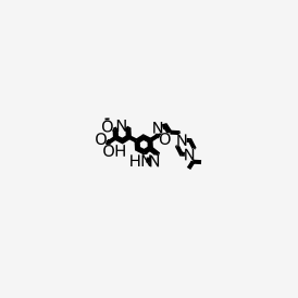 COc1ncc(-c2cc(-c3ncc(CN4CCN(C(C)C)CC4)o3)c3cn[nH]c3c2)cc1C(=O)O